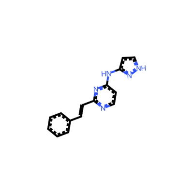 C(=C\c1nccc(Nc2cc[nH]n2)n1)/c1ccccc1